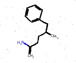 C=C(N)CCC(C)Cc1ccccc1